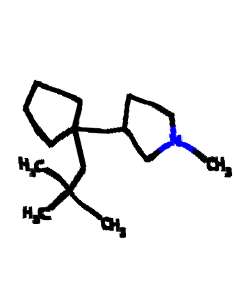 CN1CCC(C2(CC(C)(C)C)CCCC2)C1